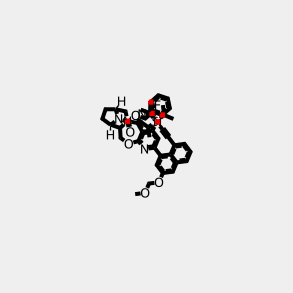 COCOc1cc(-c2cc3nc(F)nc4c3c(n2)OCC2[C@H]3CC[C@@H](CN42)N3C(=O)OCc2ccccc2)c2c(C#C[Si](C(C)C)(C(C)C)C(C)C)cccc2c1